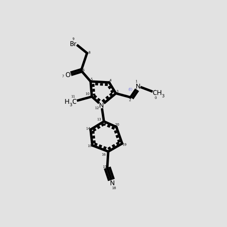 C/N=C/c1cc(C(=O)CBr)c(C)n1-c1ccc(C#N)cc1